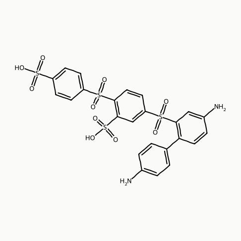 Nc1ccc(-c2ccc(N)cc2S(=O)(=O)c2ccc(S(=O)(=O)c3ccc(S(=O)(=O)O)cc3)c(S(=O)(=O)O)c2)cc1